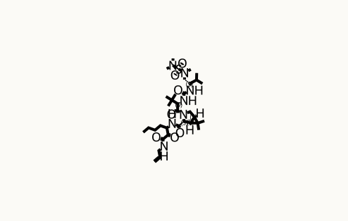 C=CCNC(=O)C(=O)C(CCCC)NC(=O)[C@@H]1[C@@H]2[C@H](CN1C(=O)[C@@H](NC(=O)N[C@H](CN(C)S(=O)(=O)N(C)C)C(C)C)C(C)(C)C)C2(C)C